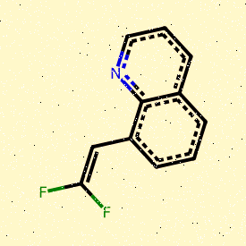 FC(F)=Cc1cccc2cc[c]nc12